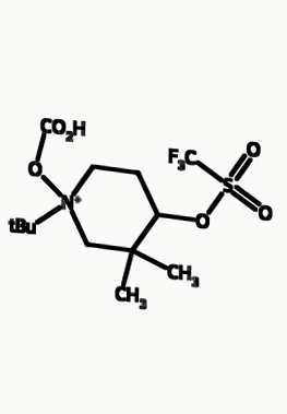 CC1(C)C[N+](OC(=O)O)(C(C)(C)C)CCC1OS(=O)(=O)C(F)(F)F